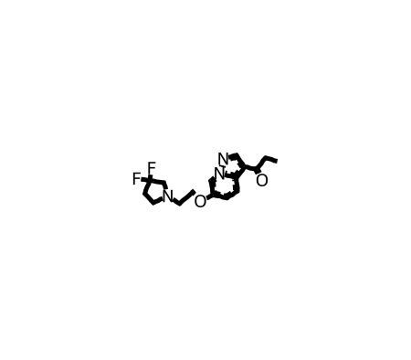 CCC(=O)c1cnn2cc(OCCN3CCC(F)(F)C3)ccc12